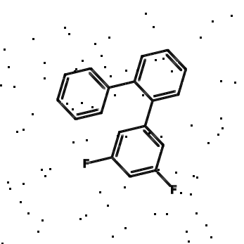 Fc1cc(F)cc(-c2ccccc2-c2ccccc2)c1